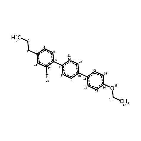 CCCc1ccc(-c2ccc(-c3ccc(OCC)cc3)cn2)c(F)c1